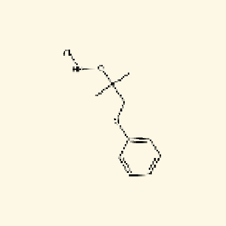 CC(C)(COc1ccccc1)OPCl